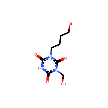 O=c1[nH]c(=O)n(CCCCO)c(=O)n1CO